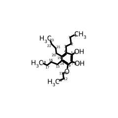 CCCCc1c(O)c(O)c(OCCC)c(CCCC)c1CCCC